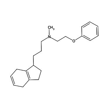 CN(CCCC1CCC2=C1CC=CC2)CCOc1ccccc1